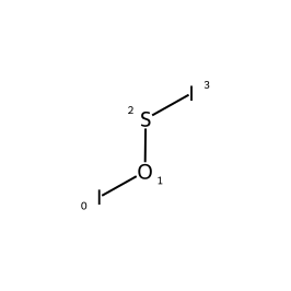 IOSI